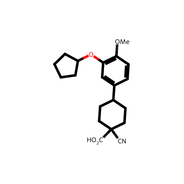 COc1ccc(C2CCC(C#N)(C(=O)O)CC2)cc1OC1CCCC1